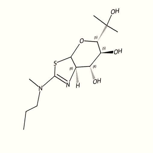 CCCN(C)C1=N[C@H]2C(O[C@H](C(C)(C)O)[C@@H](O)[C@@H]2O)S1